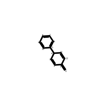 C=C1C=CC(c2ccccc2)C=C1